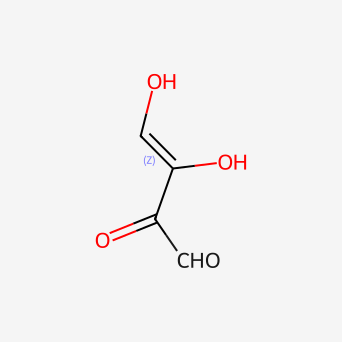 O=CC(=O)/C(O)=C/O